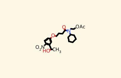 CC(=O)OCCN(C(=O)CCCOc1ccc([N+](=O)[O-])c(C(C)O)c1)C1CCCCC1